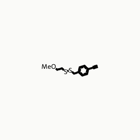 C#Cc1ccc(CSSCCOC)cc1